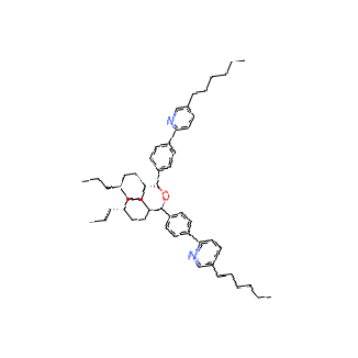 CCCCCCc1ccc(-c2ccc(C(OC(c3ccc(-c4ccc(CCCCCC)cn4)cc3)[C@H]3CC[C@H](CCC)CC3)[C@H]3CC[C@H](CCC)CC3)cc2)nc1